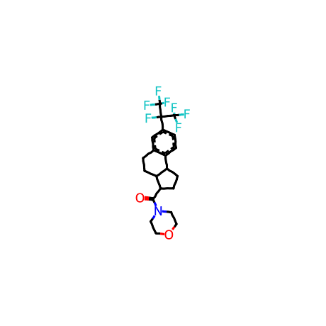 O=C(C1CCC2c3ccc(C(F)(C(F)(F)F)C(F)(F)F)cc3CCC12)N1CCOCC1